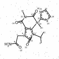 CC(C)n1c2c(n(CC(N)=O)c1=O)C(=O)N(C)C(=O)[N+]2(C)c1nccs1